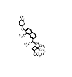 C[C@H](N[C@@H]1C[C@H](C(=O)O)C1(C)C)c1ccc2ccc(O[C@H]3CC[C@@H](C(F)(F)F)CC3)c(C(F)(F)F)c2c1